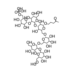 CC(=O)CCCO[C@@H]1OC(CO[C@H]2OC(CO[C@H]3OC(CO)[C@@H](O)[C@H](O)C3O[C@@H]3OC(COO)[C@@H](O)[C@H](O)C3O)[C@@H](O)[C@H](O)C2O)[C@@H](O)[C@H](O[C@@H]2OC(CO)[C@@H](O)[C@H](O)C2O[C@H]2OC(COP(=O)(O)O)[C@@H](O)[C@H](O)C2O)C1O